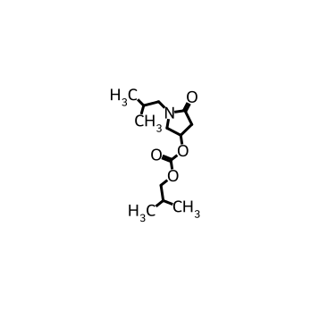 CC(C)COC(=O)OC1CC(=O)N(CC(C)C)C1